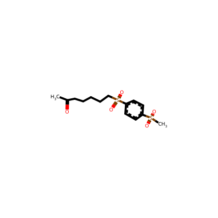 CC(=O)CCCCCS(=O)(=O)c1ccc(S(C)(=O)=O)cc1